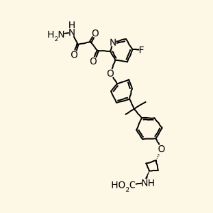 CC(C)(c1ccc(Oc2cc(F)cnc2C(=O)C(=O)C(=O)NN)cc1)c1ccc(O[C@H]2C[C@H](NC(=O)O)C2)cc1